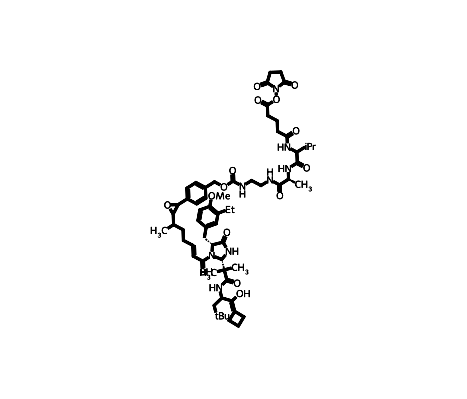 B=C(/C=C/CCC(C)C1OC1c1ccc(COC(=O)NCCNC(=O)[C@H](C)NC(=O)C(NC(=O)CCCC(=O)ON2C(=O)CCC2=O)C(C)C)cc1)N1[C@H](Cc2ccc(OC)c(CC)c2)C(=O)N[C@@H]1C(C)(C)C(=O)NC(CC(C)(C)C)C(O)=C1CCC1